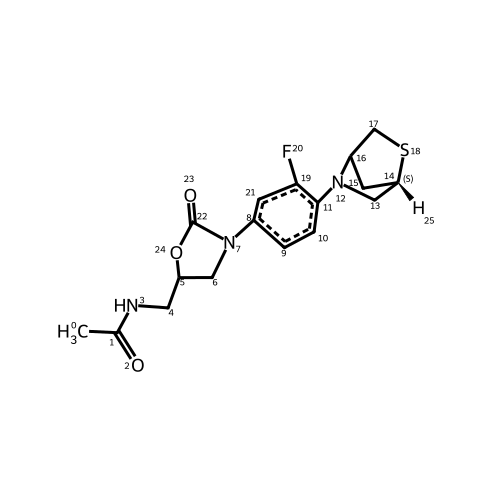 CC(=O)NCC1CN(c2ccc(N3C[C@@H]4CC3CS4)c(F)c2)C(=O)O1